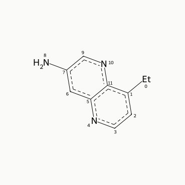 CCc1ccnc2cc(N)cnc12